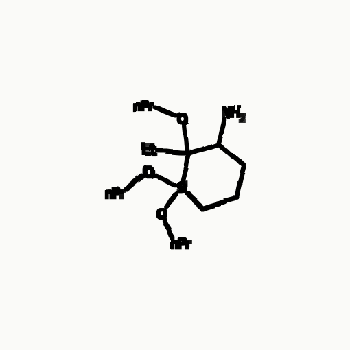 CCCOC1(CC)C(N)CCC[Si]1(OCCC)OCCC